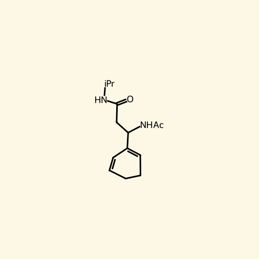 CC(=O)NC(CC(=O)NC(C)C)C1=CCCC=C1